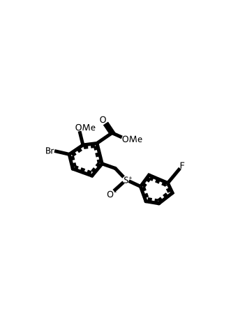 COC(=O)c1c(C[S+]([O-])c2cccc(F)c2)ccc(Br)c1OC